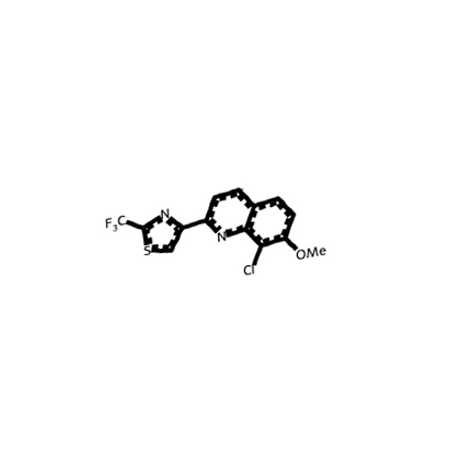 COc1ccc2[c]cc(-c3csc(C(F)(F)F)n3)nc2c1Cl